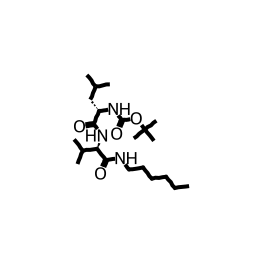 CCCCCCNC(=O)[C@@H](NC(=O)[C@H](CC(C)C)NC(=O)OC(C)(C)C)C(C)C